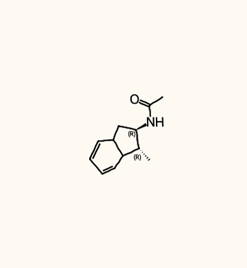 CC(=O)N[C@@H]1CC2C=CC=CC2[C@H]1C